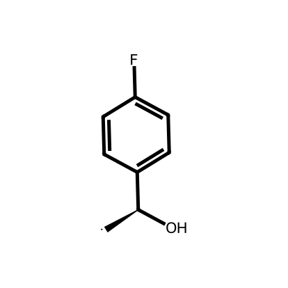 [CH2][C@H](O)c1ccc(F)cc1